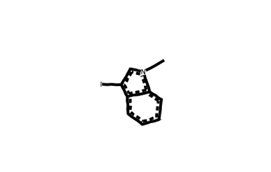 Cn1cc(I)c2cc[c]cc21